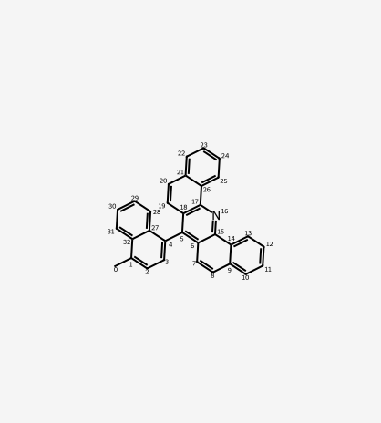 Cc1ccc(-c2c3ccc4ccccc4c3nc3c2ccc2ccccc23)c2ccccc12